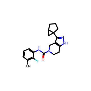 N#Cc1cccc(NC(=O)N2CCc3[nH]nc(C45CCCC4C5)c3C2)c1F